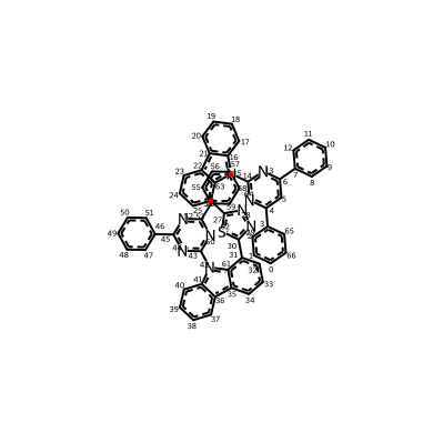 c1ccc(-c2cc(-c3ccccc3)nc(-n3c4ccccc4c4cccc(-c5nnc(-c6cccc7c8ccccc8n(-c8nc(-c9ccccc9)nc(-c9ccccc9)n8)c67)s5)c43)n2)cc1